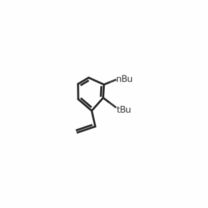 C=Cc1cccc(CCCC)c1C(C)(C)C